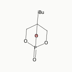 CCC(C)C12COP(=O)(OC1)OC2